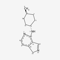 C[C@H]1CC[C@H](Nc2nccc3c2C=NC3)CC1